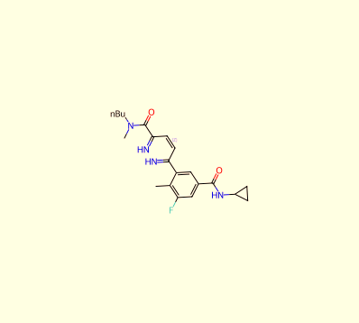 CCCCN(C)C(=O)C(=N)/C=C\C(=N)c1cc(C(=O)NC2CC2)cc(F)c1C